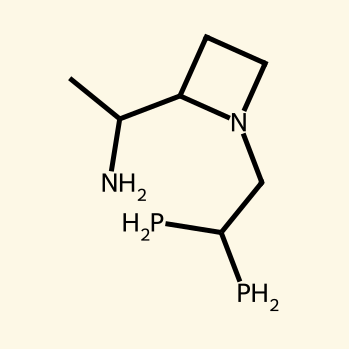 CC(N)C1CCN1CC(P)P